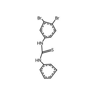 S=C(Nc1ccccc1)Nc1ccc(Br)c(Br)c1